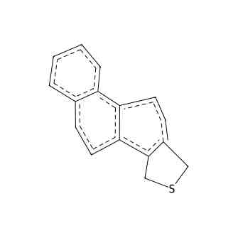 c1ccc2c(c1)ccc1c3c(ccc12)CSC3